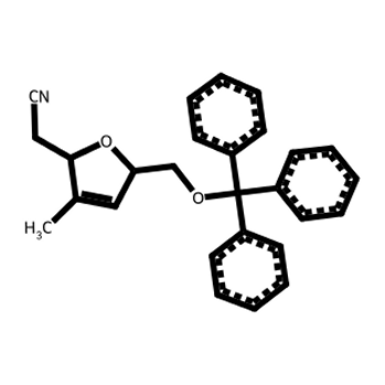 CC1=CC(COC(c2ccccc2)(c2ccccc2)c2ccccc2)OC1CC#N